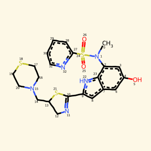 CN(c1cc(O)cc2cc(C3=NCC(CN4CCSCC4)S3)[nH]c12)S(=O)(=O)c1ccccn1